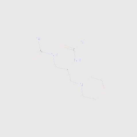 NC(=O)NCC(CN1CCOCC1)NC(N)=O